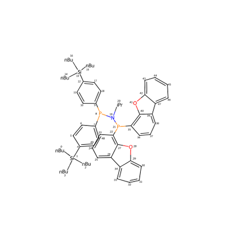 CCCC[Si](CCCC)(CCCC)c1ccc(P(c2ccc([Si](CCCC)(CCCC)CCCC)cc2)N(C(C)C)P(c2cccc3c2oc2ccccc23)c2cccc3c2oc2ccccc23)cc1